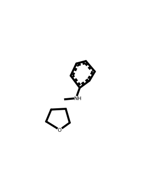 C1CCOC1.CNc1ccccc1